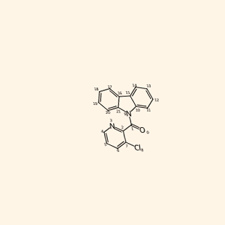 O=C(c1ncccc1Cl)n1c2ccccc2c2ccccc21